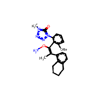 COc1cccc(-n2nnn(C)c2=O)c1/C(ON)=C(/C)c1cccc2c1CCCC2